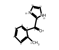 Cc1ccccc1C(=O)c1ncc[nH]1